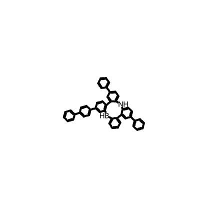 B1c2ccccc2-c2cc(-c3ccccc3)ccc2Nc2ccc(-c3ccccc3)cc2-c2ccc(-c3ccc(-c4ccccc4)cc3)cc21